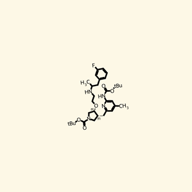 Cc1cc(C[C@@H]2CN(C(=O)OC(C)(C)C)C[C@@H]2OCCNC(C)Cc2cccc(F)c2)nc(NC(=O)OC(C)(C)C)c1